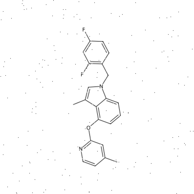 [CH2]c1ccnc(Oc2cccc3c2c(C)cn3Cc2ccc(F)cc2F)c1